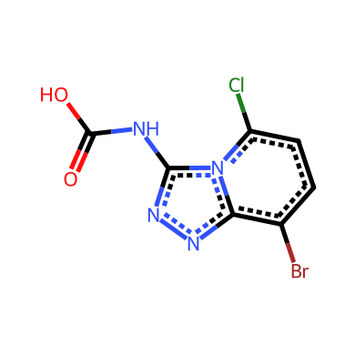 O=C(O)Nc1nnc2c(Br)ccc(Cl)n12